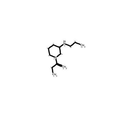 C=C(CC)N1CCCC(NCCC)C1